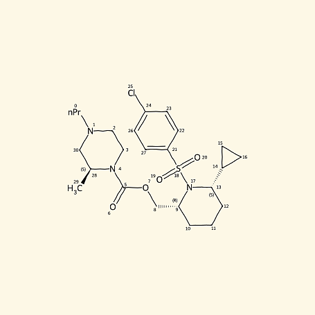 CCCN1CCN(C(=O)OC[C@H]2CCC[C@@H](C3CC3)N2S(=O)(=O)c2ccc(Cl)cc2)[C@@H](C)C1